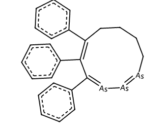 c1ccc(C2=[As][As]=[As]CCCCC(c3ccccc3)=C2c2ccccc2)cc1